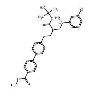 COC(=O)c1ccc(-c2ccc(CCN(C[C@H](O)c3cncc(Cl)c3)C(=O)OC(C)(C)C)cc2)cc1